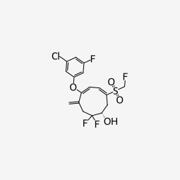 C=C1CC(F)(F)[C@@H](O)C/C(S(=O)(=O)CF)=C\C=C/1Oc1cc(F)cc(Cl)c1